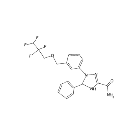 NC(=O)C1=NN(c2cccc(COCC(F)(F)C(F)F)c2)C(c2ccccc2)N1